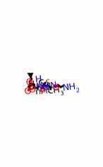 CCC[C@@H](NC(=O)[C@]1(C)CSC(/C(C)=N/OCCCN)=N1)c1cc(OCC2CC2)cc(=O)o1